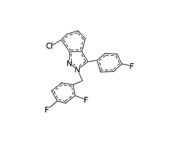 Fc1ccc(-c2c3cccc(Cl)c3nn2Cc2ccc(F)cc2F)cc1